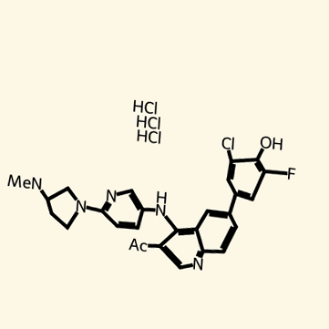 CNC1CCN(c2ccc(Nc3c(C(C)=O)cnc4ccc(-c5cc(F)c(O)c(Cl)c5)cc34)cn2)C1.Cl.Cl.Cl